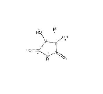 O=C1BC(=O)C(O)C1O.[N]